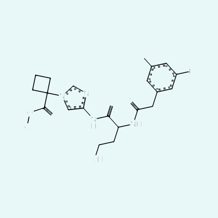 CCCC(NC(=O)Cc1cc(F)cc(F)c1)C(=O)Nc1cn(C2(C(=O)OC)CCC2)cn1